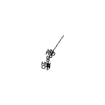 CCCCCCCCCCCCCCCCNC(=O)Nc1cccc(Oc2ccc(-c3nn4nc(C(C)(C)C)c(Cl)c4[nH]3)cc2)c1